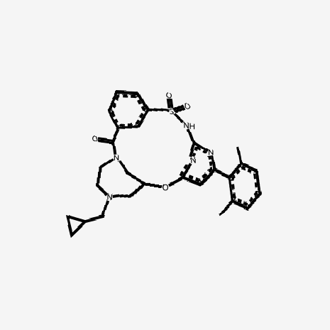 Cc1cccc(C)c1-c1cc2nc(n1)NS(=O)(=O)c1cccc(c1)C(=O)N1CCN(CC3CC3)CC(C1)O2